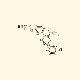 CC(Cc1ccc(OCC(=O)O)cc1)N1CCOC(c2cccc(Cl)n2)C1